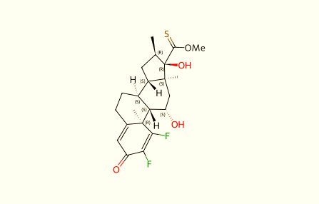 COC(=S)[C@@]1(O)[C@H](C)C[C@H]2[C@@H]3CCC4=CC(=O)C(F)=C(F)[C@]4(C)[C@H]3[C@@H](O)C[C@@]21C